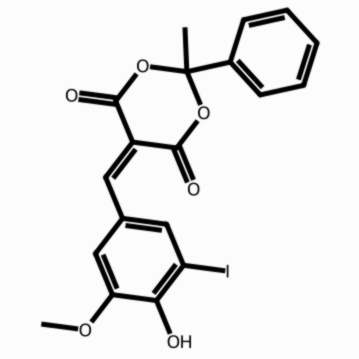 COc1cc(C=C2C(=O)OC(C)(c3ccccc3)OC2=O)cc(I)c1O